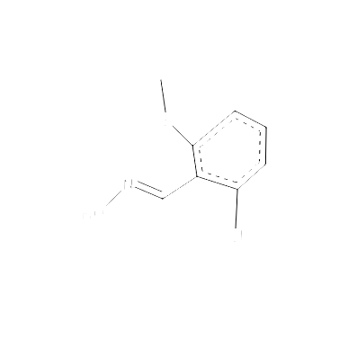 CSc1cccc(Cl)c1C=NO